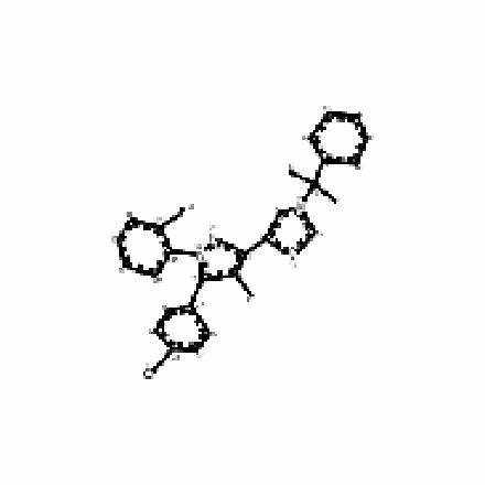 Cc1c(-c2cn(C(C)(C)c3ccccc3)cn2)nn(-c2ccccc2F)c1-c1ccc(Cl)cc1